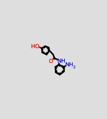 Nc1ccccc1NC(=O)Cc1ccc(O)cc1